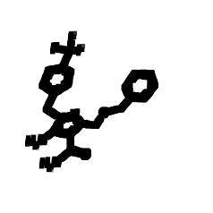 NC(=O)c1c(COCc2ccccc2)nn(Cc2ccc(C(F)(F)F)cc2)c1N